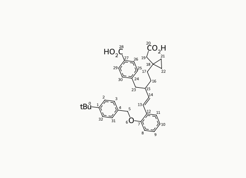 CC(C)(C)c1ccc(COc2ccccc2C=CC(CCC2(CC(=O)O)CC2)Cc2ccc(C(=O)O)cc2)cc1